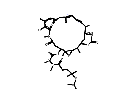 C/C1=C\C=C\C(C)C2(O)CC(OC(=O)N2)C(C)C2OC2(C)C(OC(=O)[C@H](C)N(C)C(=O)CCC(C)(C)SC(C)C)CC(=O)N(C)c2cc(cc(C)c2Cl)C1